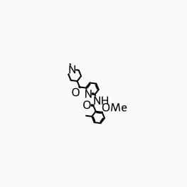 COc1cccc(C)c1C(=O)Nc1cccc(C(=O)C2CCN(C)CC2)n1